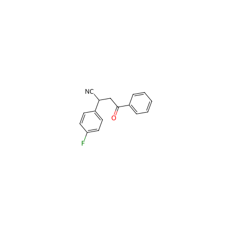 N#CC(CC(=O)c1ccccc1)c1ccc(F)cc1